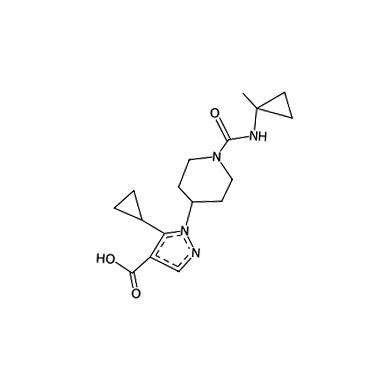 CC1(NC(=O)N2CCC(n3ncc(C(=O)O)c3C3CC3)CC2)CC1